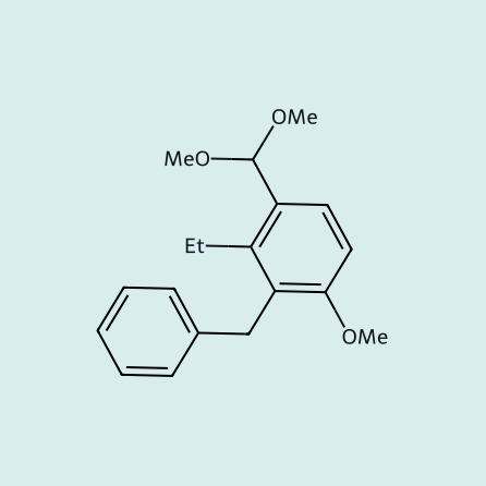 CCc1c(C(OC)OC)ccc(OC)c1Cc1ccccc1